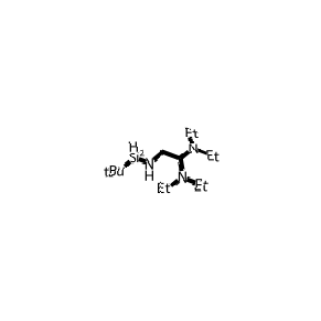 CCN(CC)C(CN[SiH2]C(C)(C)C)N(CC)CC